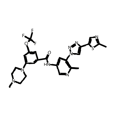 Cc1ncc(-c2cn(-c3cc(NC(=O)c4cc(OC(F)(F)F)cc(N5CCN(C)CC5)c4)cnc3C)nn2)s1